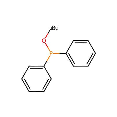 CCC(C)OP(c1ccccc1)c1ccccc1